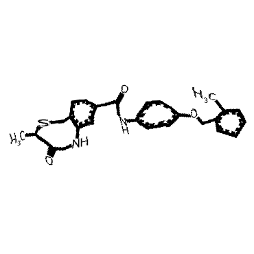 Cc1ccccc1COc1ccc(NC(=O)c2ccc3c(c2)NC(=O)C(C)S3)cc1